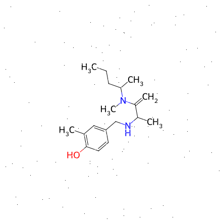 C=C(C(C)NCc1ccc(O)c(C)c1)N(C)C(C)CCC